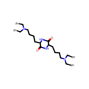 CC(C)CN(CCCCC1NC(=O)C(CCCCN(CC(C)C)CC(C)C)NC1=O)CC(C)C